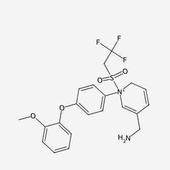 COc1ccccc1Oc1ccc([N+]2(S(=O)(=O)CC(F)(F)F)C=C(CN)C=CC2)cc1